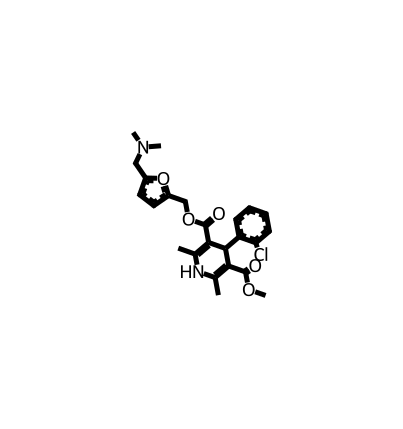 COC(=O)C1=C(C)NC(C)=C(C(=O)OCc2ccc(CN(C)C)o2)C1c1ccccc1Cl